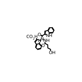 O=C(CCCO)NN(C(=O)c1cc2ccccc2[nH]1)n1c(C(=O)O)cc2ccccc21